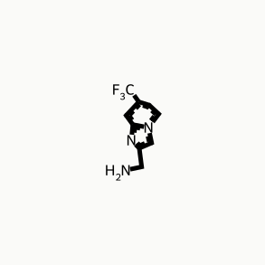 NCc1cn2ccc(C(F)(F)F)cc2n1